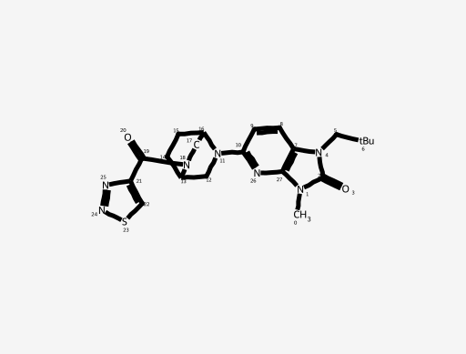 Cn1c(=O)n(CC(C)(C)C)c2ccc(N3CC4CCC3CN4C(=O)c3csnn3)nc21